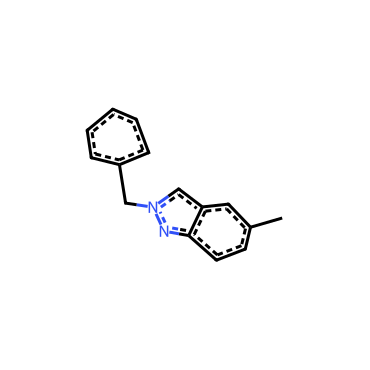 Cc1ccc2nn(Cc3ccccc3)cc2c1